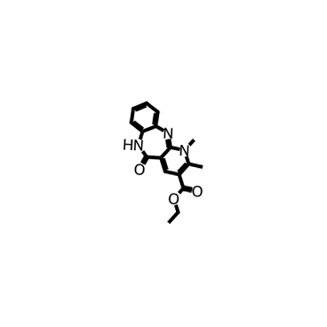 CCOC(=O)C1=C(C)N(C)C2=Nc3ccccc3NC(=O)C2=C1